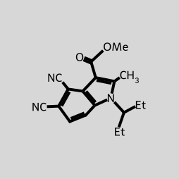 CCC(CC)n1c(C)c(C(=O)OC)c2c(C#N)c(C#N)ccc21